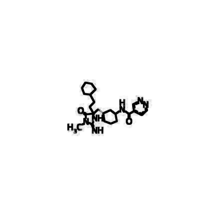 CN1C(=N)NC(CCC2CCCCC2)(C[C@H]2CCCC(NC(=O)c3ccnnc3)C2)C1=O